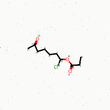 CCC(=O)OC(Cl)CCCCC(C)=O